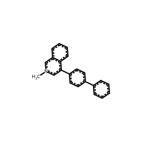 C[n+]1cc(-c2ccc(-c3ccccc3)cc2)c2ccccc2c1